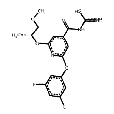 COC[C@@H](C)Oc1cc(C(=O)NC(=N)S)cc(Oc2cc(F)cc(Cl)c2)n1